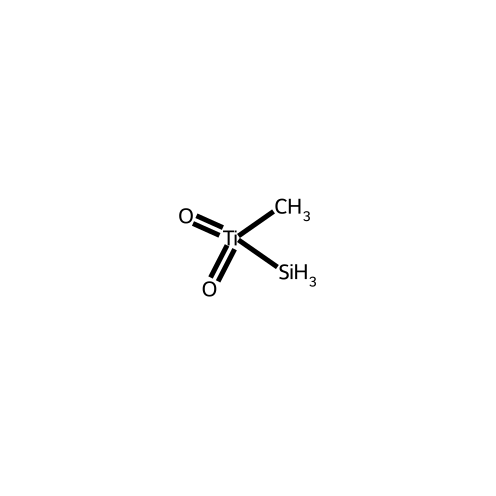 [CH3][Ti](=[O])(=[O])[SiH3]